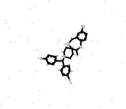 CC1Oc2ccc(Cl)cc2COC12CCN(C(c1ccc(F)cc1)c1ccc(F)cc1)CC2